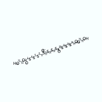 O=C(CSCSCSCC[S+]([O-])CSCSCSC(=O)CSCSCSCCOOCCO)OCCO